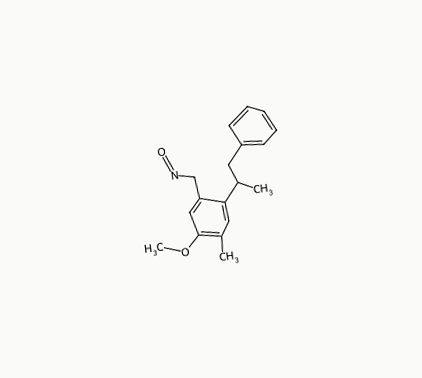 COc1cc(CN=O)c(C(C)Cc2ccccc2)cc1C